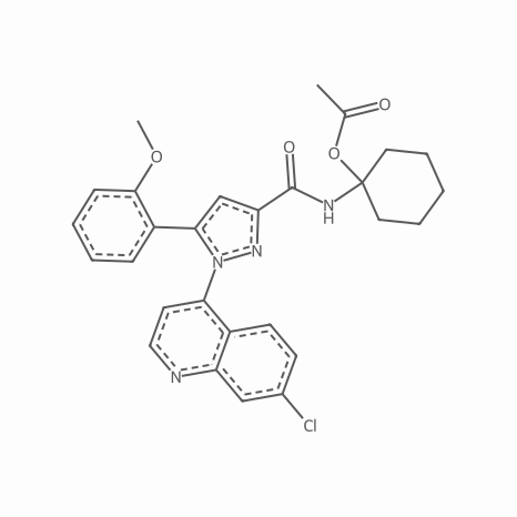 COc1ccccc1-c1cc(C(=O)NC2(OC(C)=O)CCCCC2)nn1-c1ccnc2cc(Cl)ccc12